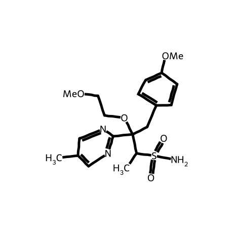 COCCOC(Cc1ccc(OC)cc1)(c1ncc(C)cn1)C(C)S(N)(=O)=O